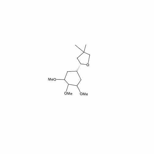 COC1CC([C@@H]2CC(C)(C)CO2)CC(OC)C1OC